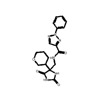 O=C1NC(=O)C(CNC(=O)c2cnn(-c3ccccc3)n2)(C2CCCOC2)N1